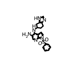 Nc1cnc2c(ccn2S(=O)(=O)c2ccccc2)c1NC1CCc2nc[nH]c2C1